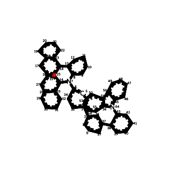 c1cc(-c2ccc(N(c3ccccc3-c3cccc4ccccc34)c3cccc4ccccc34)cc2)cc(-c2ccccc2-n2c3ccccc3c3ccccc32)c1